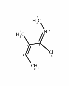 C/C=C(C)\C(Cl)=N/C